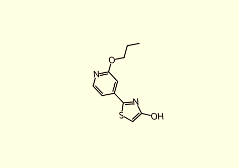 CCCOc1cc(-c2nc(O)cs2)ccn1